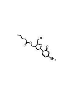 CCCCC(=O)OCC1CC(n2ccc(N)nc2=O)OC1CO